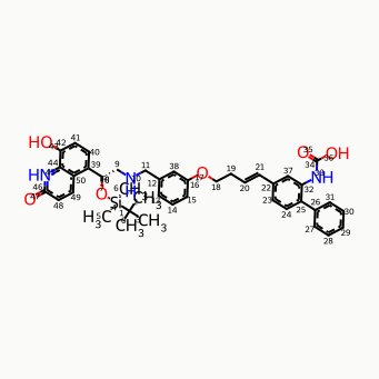 CC(C)(C)[Si](C)(C)O[C@@H](CNCc1cccc(OCCC=Cc2ccc(-c3ccccc3)c(NC(=O)O)c2)c1)c1ccc(O)c2[nH]c(=O)ccc12